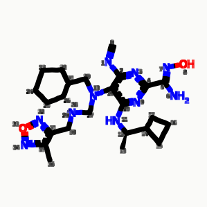 C=Nc1nc(/C(N)=N/O)nc(N[C@H](C)C2CCC2)c1N(CC1CCCCC1)CN(C)Cc1nonc1C